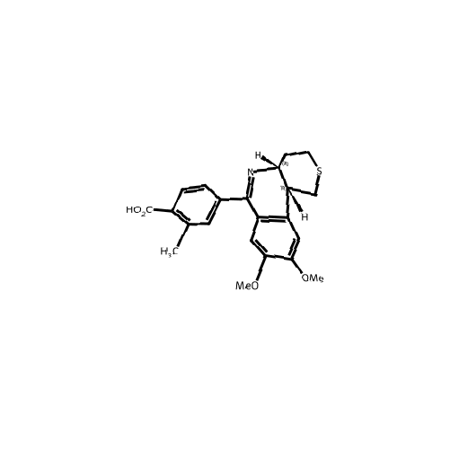 COc1cc2c(cc1OC)[C@H]1CSCC[C@H]1N=C2c1ccc(C(=O)O)c(C)c1